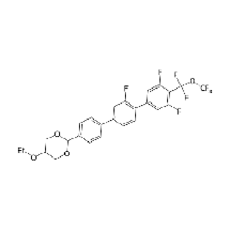 CCOC1COC(c2ccc(-c3ccc(-c4cc(F)c(C(F)(F)OC(F)(F)F)c(F)c4)c(F)c3)cc2)OC1